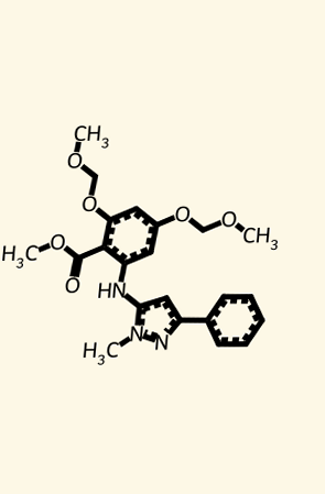 COCOc1cc(Nc2cc(-c3ccccc3)nn2C)c(C(=O)OC)c(OCOC)c1